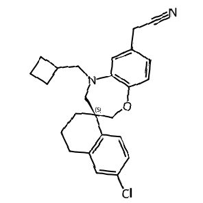 N#CCc1ccc2c(c1)N(CC1CCC1)C[C@@]1(CCCc3cc(Cl)ccc31)CO2